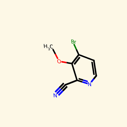 COc1c(Br)ccnc1C#N